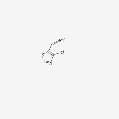 N=Cc1scnc1Cl